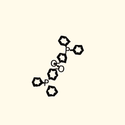 O=S(=O)(c1ccc(P(c2ccccc2)c2ccccc2)cc1)c1ccc(P(c2ccccc2)c2ccccc2)cc1